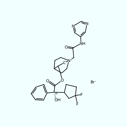 O=C(C[N+]12CCC(CC1)C(OC(=O)[C@](O)(c1ccccc1)C1CCC(F)(F)C1)C2)Nc1cncnc1.[Br-]